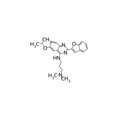 CC(C)Oc1ccc2nc(-c3cc4ccccc4o3)nc(NCCCN(C)C)c2c1